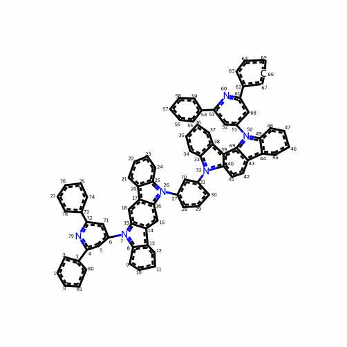 c1ccc(-c2cc(-n3c4ccccc4c4cc5c(cc43)c3ccccc3n5-c3cccc(-n4c5ccccc5c5c4ccc4c6ccccc6n(-c6cc(-c7ccccc7)nc(-c7ccccc7)c6)c45)c3)cc(-c3ccccc3)n2)cc1